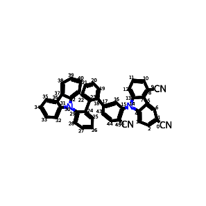 N#Cc1ccc2c(c1)c1c(C#N)cccc1n2-c1cc(-c2ccccc2-c2ccccc2-n2c3ccccc3c3ccccc32)ccc1C#N